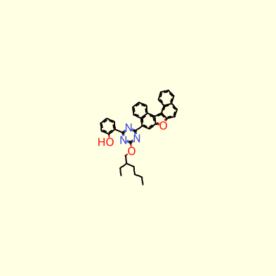 CCCCC(CC)COc1nc(-c2ccccc2O)nc(-c2cc3oc4ccc5ccccc5c4c3c3ccccc23)n1